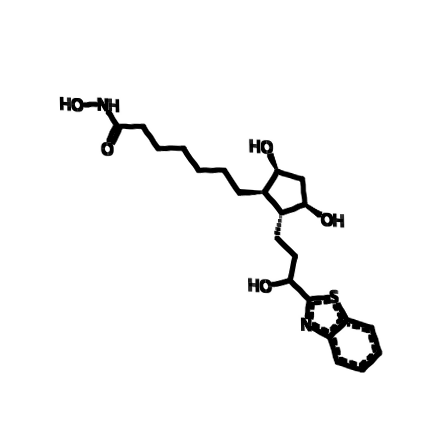 O=C(CCCCCC[C@@H]1[C@@H](CCC(O)c2nc3ccccc3s2)[C@H](O)C[C@@H]1O)NO